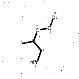 C[CH]OOC(C)CCCC